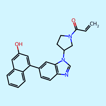 C=CC(=O)N1CCC(n2cnc3ccc(-c4cc(O)cc5ccccc45)cc32)C1